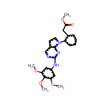 COC(=O)Cc1ccccc1-n1ccc2cnc(Nc3cc(OC)c(OC)c(OC)c3)nc21